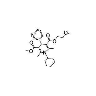 COCCOC(=O)C1=C(C)N(C2CCCCC2)C(C)=C(C(=O)OC)C1c1cccnc1